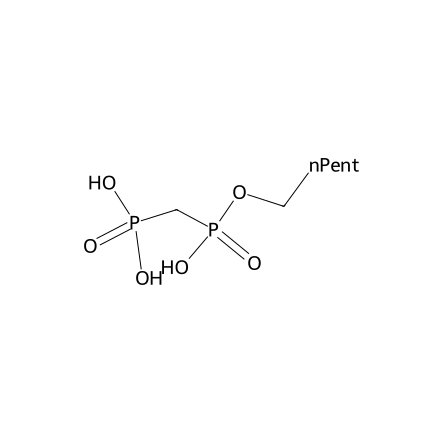 CCCCCCOP(=O)(O)CP(=O)(O)O